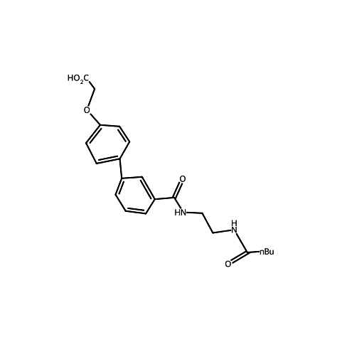 CCCCC(=O)NCCNC(=O)c1cccc(-c2ccc(OCC(=O)O)cc2)c1